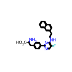 N[C@@H](Cc1ccc(-c2ncc(F)c(NCCc3ccc4ccccc4c3)n2)cc1)C(=O)O